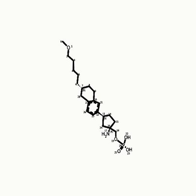 COCCCCC[C@@H]1CCc2cc([C@H]3CC[C@](N)(COP(=O)(O)O)C3)ccc2C1